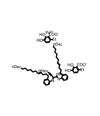 CCCCCCC#CC(=Nc1ccccc1CCCC=CCCCCCCCCCCCCCCCC)C(CCCC)=Nc1ccccc1CCCC=CCCCCCCCCCCCCCCCC.CCc1ccc(O)c(O)c1C(=O)[O-].CCc1ccc(O)c(O)c1C(=O)[O-].[Pd+2]